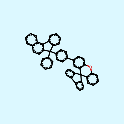 c1ccc(C2(c3ccc(-c4ccc5c(c4)C4(c6ccccc6O5)c5ccccc5-c5ccccc54)cc3)c3ccccc3-c3c2ccc2ccccc32)cc1